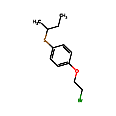 CCC(C)Sc1ccc(OCCBr)cc1